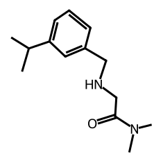 CC(C)c1cccc(CNCC(=O)N(C)C)c1